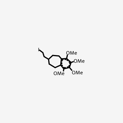 COc1c2c(c(OC)c(OC)c1OC)CCC(CCI)CC2